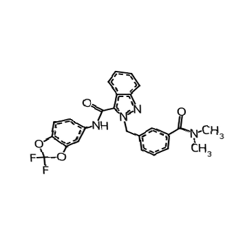 CN(C)C(=O)c1cccc(Cn2nc3ccccc3c2C(=O)Nc2ccc3c(c2)OC(F)(F)O3)c1